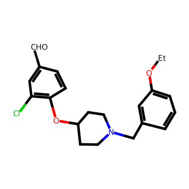 CCOc1cccc(CN2CCC(Oc3ccc(C=O)cc3Cl)CC2)c1